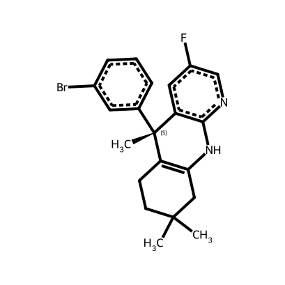 CC1(C)CCC2=C(C1)Nc1ncc(F)cc1[C@@]2(C)c1cccc(Br)c1